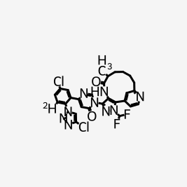 [2H]c1cc(Cl)cc(-c2cc(=O)n(-c3nn(C(F)F)c4c3NC(=O)C(C)CCCCc3cc-4ccn3)cn2)c1-n1cc(Cl)nn1